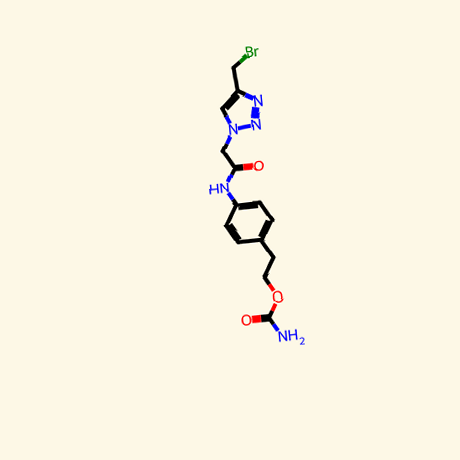 NC(=O)OCCc1ccc(NC(=O)Cn2cc(CBr)nn2)cc1